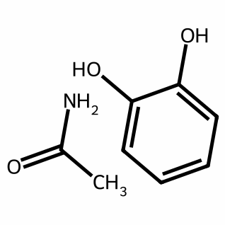 CC(N)=O.Oc1ccccc1O